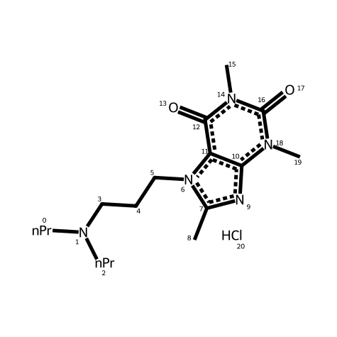 CCCN(CCC)CCCn1c(C)nc2c1c(=O)n(C)c(=O)n2C.Cl